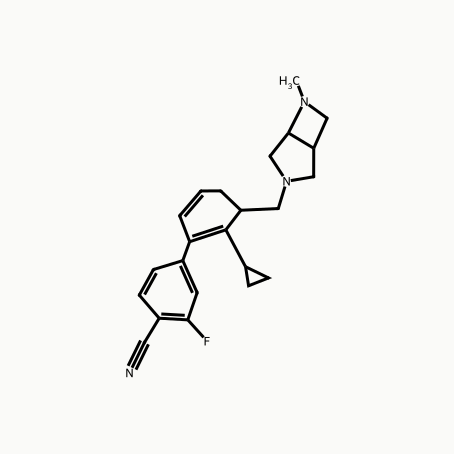 CN1CC2CN(CC3CC=CC(c4ccc(C#N)c(F)c4)=C3C3CC3)CC21